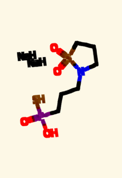 O=P(O)(S)CCCN1CCCS1(=O)=O.[NaH].[NaH]